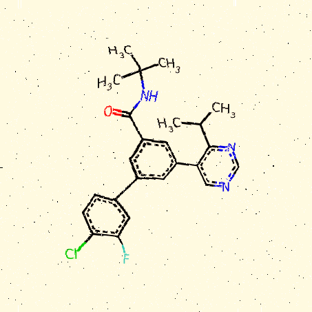 CC(C)c1ncncc1-c1cc(C(=O)NC(C)(C)C)cc(-c2ccc(Cl)c(F)c2)c1